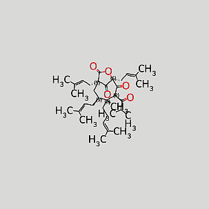 CC(C)=CCC[C@]1(C)[C@@H](CC=C(C)C)C[C@@]2(CC=C(C)C)C(=O)O[C@@](CC=C(C)C)(C(=O)[C@H]1C(=O)C(C)C)C2=O